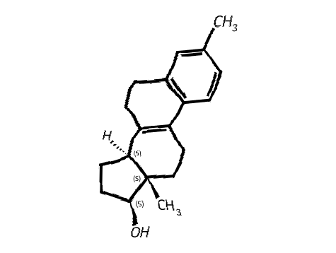 Cc1ccc2c(c1)CCC1=C2CC[C@]2(C)[C@@H](O)CC[C@@H]12